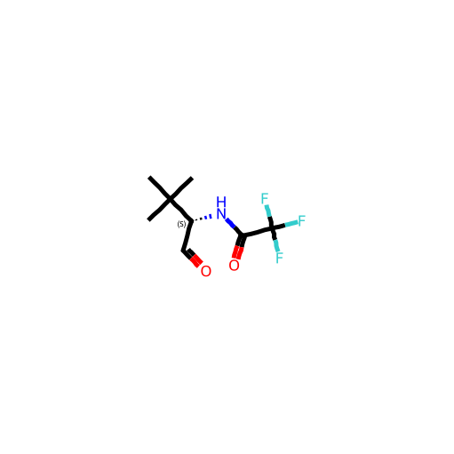 CC(C)(C)[C@@H](C=O)NC(=O)C(F)(F)F